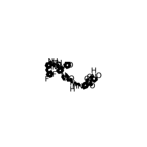 Nc1ccc(Cc2cc(F)cc(F)c2)cc1C(N)NC(=O)c1ccc(N2CCN(CC(=O)NCCCNc3ccc4c(c3)C(=O)N(C3CCC(=O)NC3=O)C4=O)CC2)cc1NC1CCOCC1